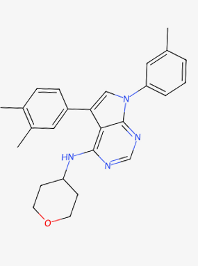 Cc1cccc(-n2cc(-c3ccc(C)c(C)c3)c3c(NC4CCOCC4)ncnc32)c1